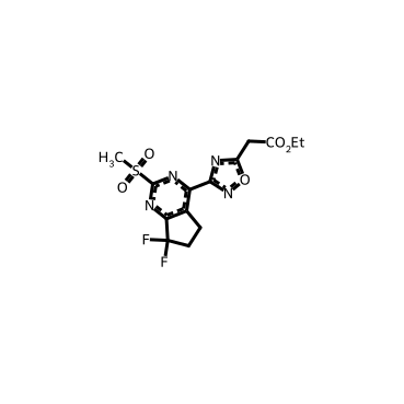 CCOC(=O)Cc1nc(-c2nc(S(C)(=O)=O)nc3c2CCC3(F)F)no1